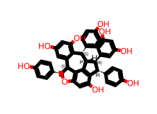 Oc1ccc([C@@H]2c3c(O)cc4c5c3[C@@H]([C@@H](c3ccc(O)cc3)c3c(O)cc(O)cc3[C@@H]5[C@@H](c3ccc(O)cc3)O4)[C@H]2c2cc(O)cc(O)c2)cc1